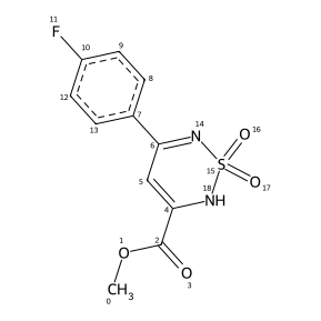 COC(=O)C1=CC(c2ccc(F)cc2)=NS(=O)(=O)N1